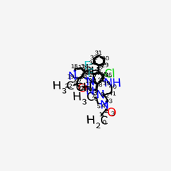 C=CC(=O)N1CC(C)N2c3nc(=O)n(-c4c(C)ccnc4C(C)C)c4c(F)c(-c5ccccc5F)c(Cl)c(c34)NCCC2C1